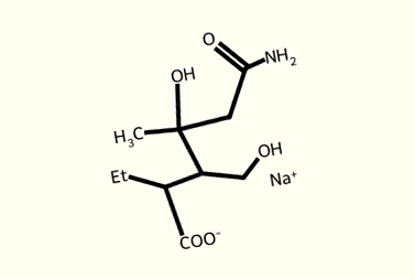 CCC(C(=O)[O-])C(CO)C(C)(O)CC(N)=O.[Na+]